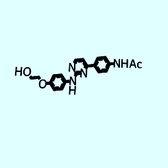 CC(=O)Nc1ccc(-c2ccnc(Nc3ccc(OCCO)cc3)n2)cc1